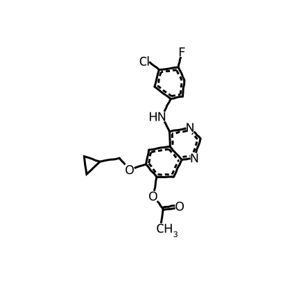 CC(=O)Oc1cc2ncnc(Nc3ccc(F)c(Cl)c3)c2cc1OCC1CC1